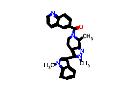 CC1c2nn(C)c(-c3cn(C)c4ccccc34)c2CCN1C(=O)c1ccc2ncccc2c1